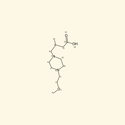 COCCN1CCN(CC(C)CC(=O)O)CC1